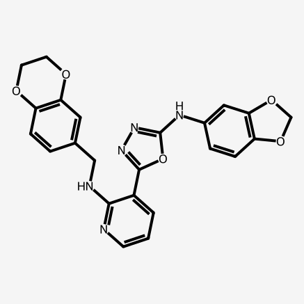 c1cnc(NCc2ccc3c(c2)OCCO3)c(-c2nnc(Nc3ccc4c(c3)OCO4)o2)c1